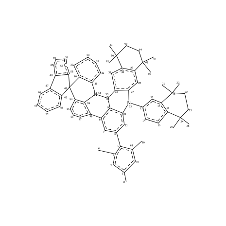 Cc1cc(C)c(-c2cc3c4c(c2)N(c2ccc5c(c2)C(C)(C)CCC5(C)C)c2cc5c(cc2B4N2c4ccccc4C4(c6ccccc6-c6ccccc64)c4cccc-3c42)C(C)(C)CCC5(C)C)c(C)c1